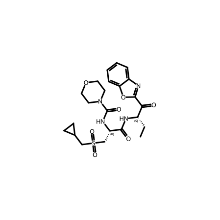 CC[C@H](NC(=O)[C@H](CS(=O)(=O)CC1CC1)NC(=O)N1CCOCC1)C(=O)c1nc2ccccc2o1